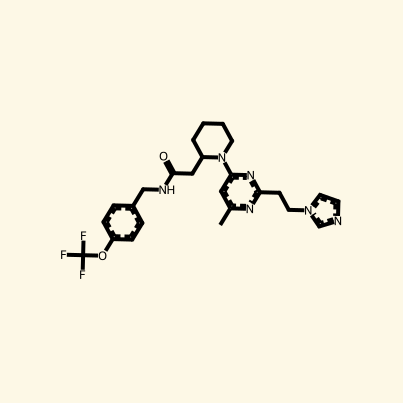 Cc1cc(N2CCCCC2CC(=O)NCc2ccc(OC(F)(F)F)cc2)nc(CCn2ccnc2)n1